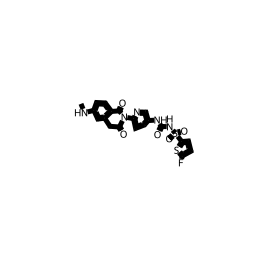 CNc1ccc2c(c1)CC(=O)N(c1ccc(NC(=O)NS(=O)(=O)c3ccc(F)s3)cn1)C2=O